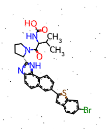 CC(C)[C@H](NC(=O)O)C(=O)N1CCC[C@H]1c1nc2ccc3cc(-c4cc5ccc(Br)cc5s4)ccc3c2[nH]1